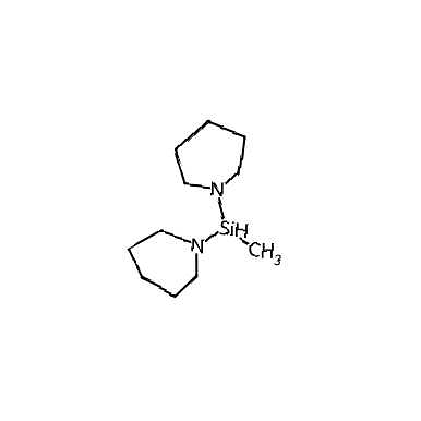 C[SiH](N1CCCCC1)N1CCCCC1